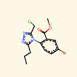 CCCc1nnc(CCl)n1-c1ccc(Br)cc1C(=O)OC